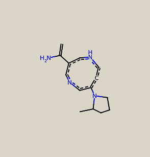 C=C(N)c1cncc(N2CCCC2C)cc[nH]c1